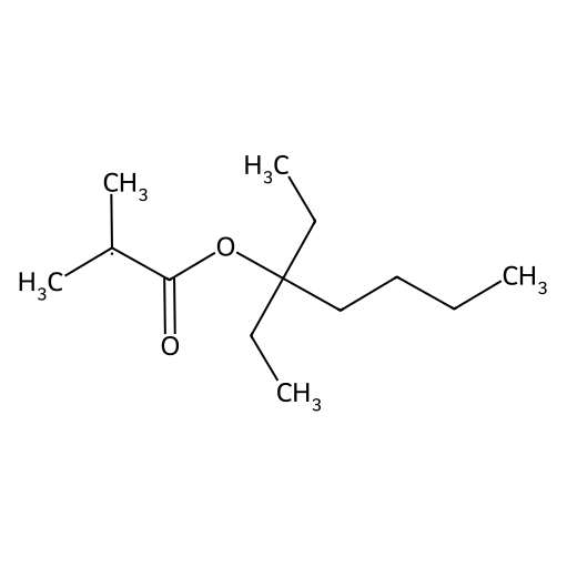 CCCCC(CC)(CC)OC(=O)[C](C)C